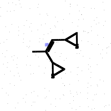 C/C(=C/C1CS1)C1CS1